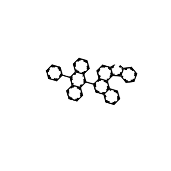 c1ccc(-c2c3ccccc3c(-c3cc4ccccc4c4c3ccc3oc5ccccc5c34)c3ccccc23)cc1